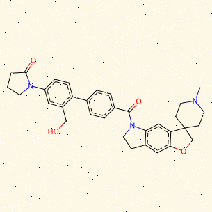 CN1CCC2(CC1)COc1cc3c(cc12)N(C(=O)c1ccc(-c2ccc(N4CCCC4=O)cc2CO)cc1)CC3